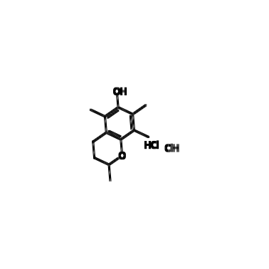 Cc1c(C)c2c(c(C)c1O)CCC(C)O2.Cl.Cl